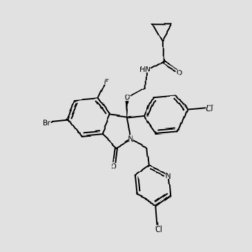 O=C(NCO[C@]1(c2ccc(Cl)cc2)c2c(F)cc(Br)cc2C(=O)N1Cc1ccc(Cl)cn1)C1CC1